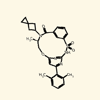 Cc1cccc(C)c1-c1cc2nc(n1)NS(=O)(=O)c1cccc(c1)C(=O)N(C1CC3(CC3)C1)[C@H](C)CO2